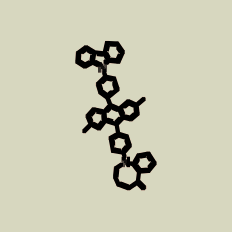 C=C1/C=C\C=C/N(c2ccc(-c3c4ccc(C)cc4c(-c4ccc(-n5c6ccccc6c6ccccc65)cc4)c4ccc(C)cc34)cc2)c2ccccc21